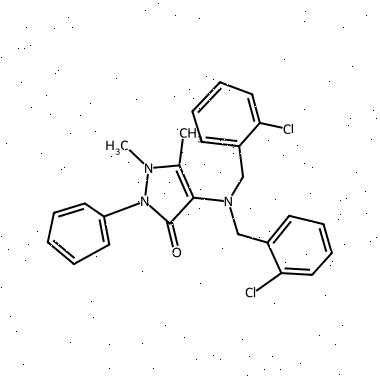 Cc1c(N(Cc2ccccc2Cl)Cc2ccccc2Cl)c(=O)n(-c2ccccc2)n1C